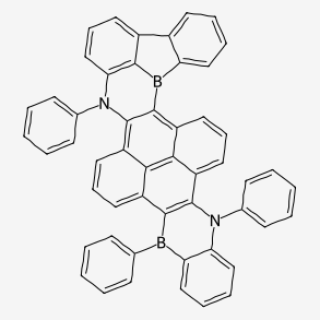 c1ccc(B2c3ccccc3N(c3ccccc3)c3c2c2cccc4c5c(c6cccc3c6c24)B2c3ccccc3-c3cccc(c32)N5c2ccccc2)cc1